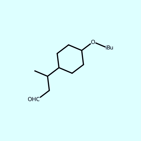 CCC(C)OC1CCC(C(C)CC=O)CC1